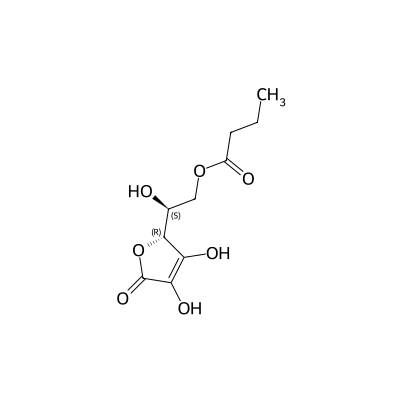 CCCC(=O)OC[C@H](O)[C@H]1OC(=O)C(O)=C1O